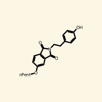 CCCCCOc1ccc2c(c1)C(=O)N(CCc1ccc(O)cc1)C2=O